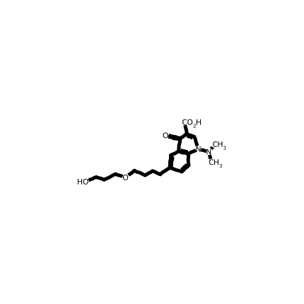 CN(C)n1cc(C(=O)O)c(=O)c2cc(CCCCOCCCO)ccc21